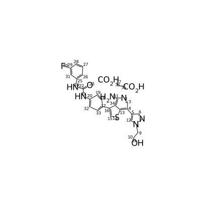 Nc1ncc(-c2cnn(CCO)c2)c2scc(-c3ccc(NC(=O)Nc4cccc(F)c4)cc3)c12.O=C(O)CC(=O)O